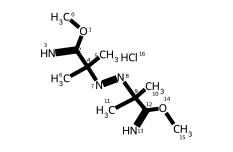 COC(=N)C(C)(C)N=NC(C)(C)C(=N)OC.Cl